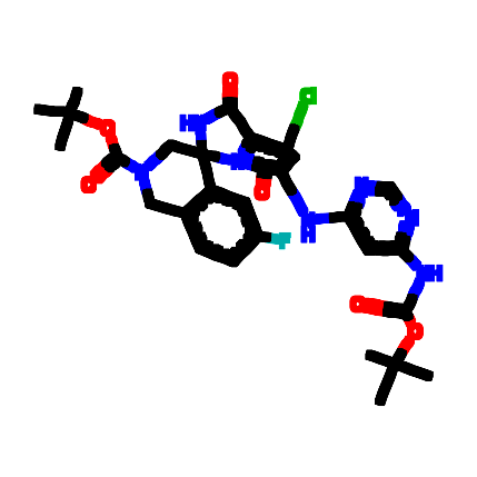 CC(C)(C)OC(=O)Nc1cc(Nc2cc(Cl)c3n(c2=O)C2(CN(C(=O)OC(C)(C)C)Cc4ccc(F)cc42)NC3=O)ncn1